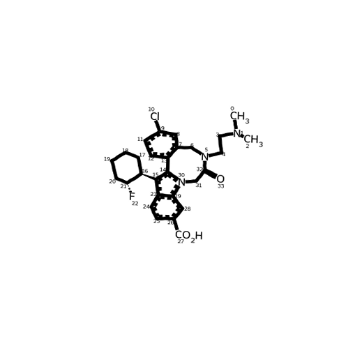 CN(C)CCN1Cc2cc(Cl)ccc2-c2c([C@@H]3CCCC[C@H]3F)c3ccc(C(=O)O)cc3n2CC1=O